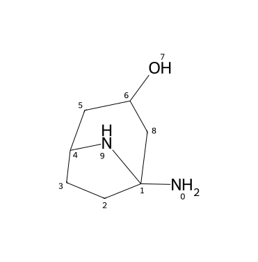 NC12CCC(CC(O)C1)N2